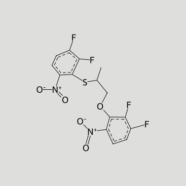 CC(COc1c([N+](=O)[O-])ccc(F)c1F)Sc1c([N+](=O)[O-])ccc(F)c1F